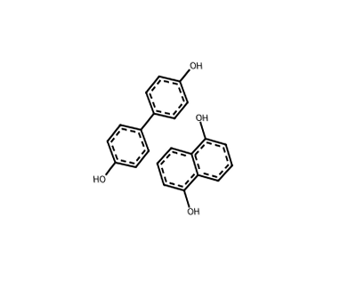 Oc1ccc(-c2ccc(O)cc2)cc1.Oc1cccc2c(O)cccc12